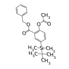 CC(=O)Oc1ccc([Si](C)(C)C(C)(C)C)cc1C(=O)OCc1ccccc1